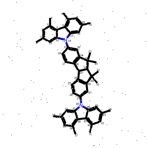 Cc1cc(C)c2c3c(C)cc(C)cc3n(-c3ccc4c(c3)C(C)(C)C3C4c4ccc(-n5c6cc(C)cc(C)c6c6c(C)cc(C)cc65)cc4C3(C)C)c2c1